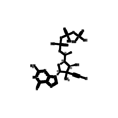 C[C@H](OP(=O)(O)OP(=O)(O)OP(=O)(O)O)[C@H]1O[C@@H](n2cnc3c(=S)[nH]c(N)nc32)C(N)(C#CCl)[C@H]1O